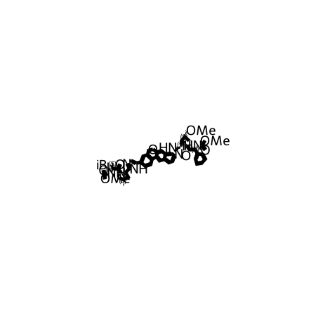 CC[C@H](C)[C@H](NC(=O)OC)C(=O)N1C[C@@H](C)CC1c1ncc(-c2ccc3c(c2)COc2cc4c(ccc5nc([C@@H]6C[C@H](COC)CN6C(=O)[C@H](NC(=O)OC)c6ccccc6)[nH]c54)cc2-3)[nH]1